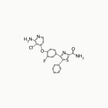 NC(=O)c1nc(-c2ccc(Oc3ccnc(N)c3Cl)c(F)c2)c(-c2ccccc2)s1